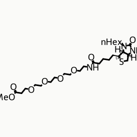 CCCCCCN1C(=O)N[C@H]2CS[C@@H](CCCCC(=O)NCCOCCOCCOCCOCCC(=O)OC)[C@H]21